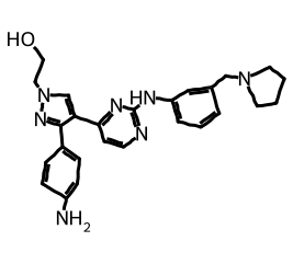 Nc1ccc(-c2nn(CCO)cc2-c2ccnc(Nc3cccc(CN4CCCC4)c3)n2)cc1